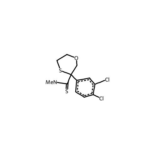 CNC(=S)C1(c2ccc(Cl)c(Cl)c2)COCCS1